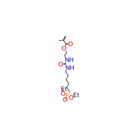 C=C(C)C(=O)OCCNC(=O)NCCCCCCP(=O)(OCC)OCC